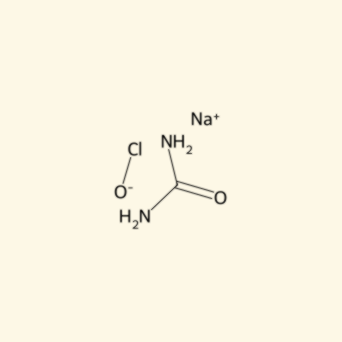 NC(N)=O.[Na+].[O-]Cl